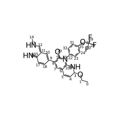 CCOC1C=Cc2cc(C3=C/C(=C/NC)C(=N)C=C3)c(=O)n(-c3ccc(OC(F)(F)F)cc3)c2N1